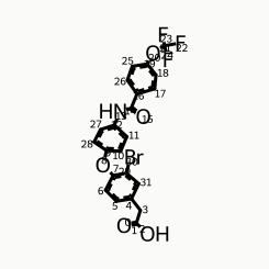 O=C(O)Cc1ccc(Oc2ccc(NC(=O)c3ccc(OC(F)(F)F)cc3)cc2)c(Br)c1